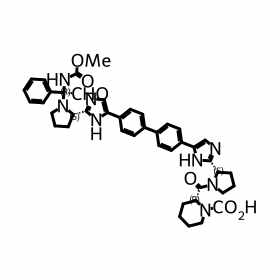 COC(=O)N[C@](C=O)(c1ccccc1)N1CCC[C@H]1c1ncc(-c2ccc(-c3ccc(-c4cnc([C@@H]5CCCN5C(=O)[C@H]5CCCCN5C(=O)O)[nH]4)cc3)cc2)[nH]1